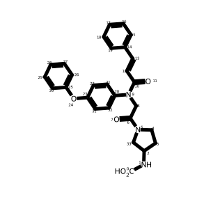 O=C(O)NC1CCN(C(=O)CN(C(=O)C=Cc2ccccc2)c2ccc(Oc3ccccc3)cc2)C1